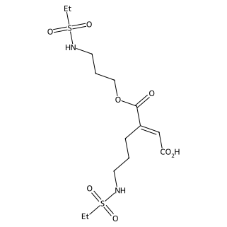 CCS(=O)(=O)NCCCOC(=O)C(=CC(=O)O)CCCNS(=O)(=O)CC